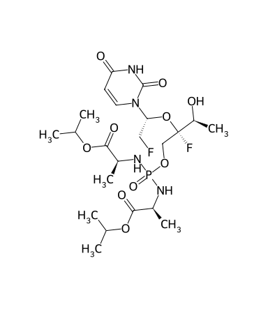 CC(C)OC(=O)[C@H](C)NP(=O)(N[C@@H](C)C(=O)OC(C)C)OC[C@@](F)(O[C@H](CF)n1ccc(=O)[nH]c1=O)[C@H](C)O